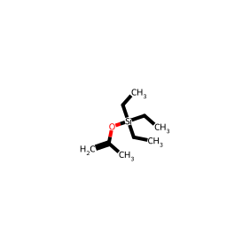 C=C(C)O[Si](CC)(CC)CC